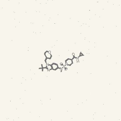 CN(c1ccc2c(c1)nc(C(C)(C)C)n2CC1CCOCC1)S(=O)(=O)N1CCC(C(=O)NC2CC2)CC1